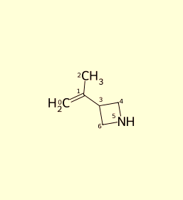 C=C(C)C1CNC1